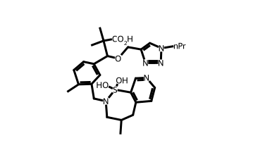 CCCn1cc(COC(c2ccc(C)c(CN3CC(C)Cc4ccncc4S3(O)O)c2)C(C)(C)C(=O)O)nn1